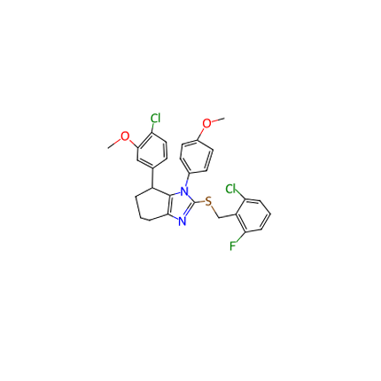 COc1ccc(-n2c(SCc3c(F)cccc3Cl)nc3c2C(c2ccc(Cl)c(OC)c2)CCC3)cc1